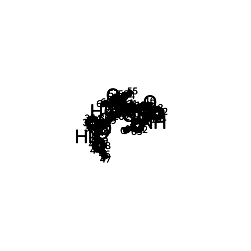 C#Cc1ccc(NC(=O)c2ccccc2C(=O)OCC(O)CN2C(=O)N(CC(O)COC(=O)c3ccccc3C(=O)Nc3ccc(C#C)cc3)C3C2N(CC=C)C(=O)N3CC=C)cc1